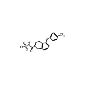 CCS(=O)(=O)NC(=O)N1CCc2c(cccc2Oc2ccc(C(F)(F)F)cc2)C1